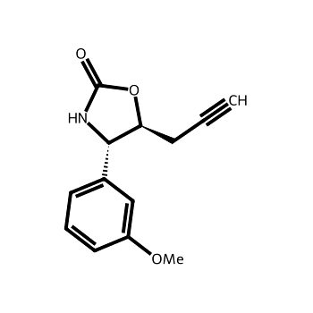 C#CC[C@@H]1OC(=O)N[C@H]1c1cccc(OC)c1